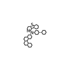 c1ccc(-c2ccc(N(c3ccc4c(ccc5ccc6ccccc6c54)c3)c3nccc4sc5ccccc5c34)cc2)cc1